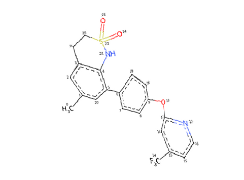 Cc1cc2c(c(-c3ccc(Oc4cc(C(F)(F)F)ccn4)cc3)c1)NS(=O)(=O)CC2